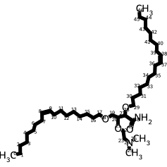 CCCCCCCC/C=C\CCCCCCCCOCC(OCCN(C)C)C(OCCCCCCCC/C=C\CCCCCCCC)C(N)=O